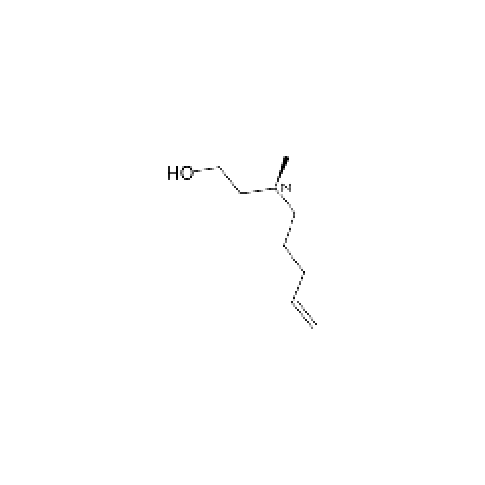 C=CCCC[C@H](C)CCO